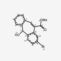 COC(=O)C1=Cc2ccccc2C(O)c2ncc(Br)cc21